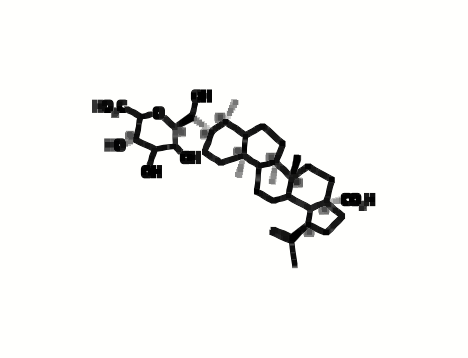 C=C(C)[C@@H]1CC[C@]2(C(=O)O)CC[C@]3(C)C(CCC4[C@@]5(C)CC[C@H](C(O)[C@@H]6OC(C(=O)O)[C@@H](O)C(O)C6O)[C@H](C)C5CC[C@]43C)C12